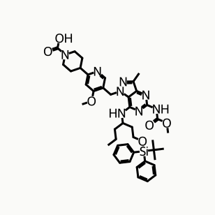 CCCC(CCO[Si](c1ccccc1)(c1ccccc1)C(C)(C)C)Nc1nc(NC(=O)OC)nc2c(C)nn(Cc3cnc(C4CCN(C(=O)O)CC4)cc3OC)c12